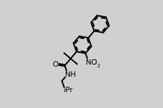 CC(C)CNC(=O)C(C)(C)c1ccc(-c2ccccc2)cc1[N+](=O)[O-]